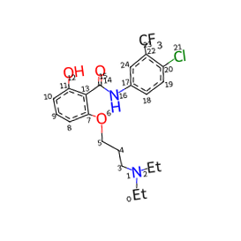 CCN(CC)CCCOc1cccc(O)c1C(=O)Nc1ccc(Cl)c(C(F)(F)F)c1